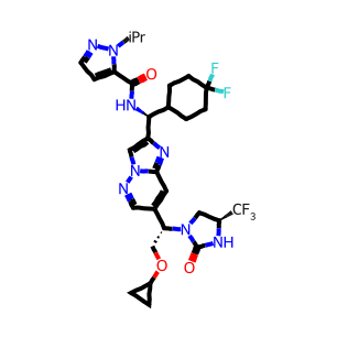 CC(C)n1nccc1C(=O)N[C@H](c1cn2ncc([C@@H](COC3CC3)N3C[C@@H](C(F)(F)F)NC3=O)cc2n1)C1CCC(F)(F)CC1